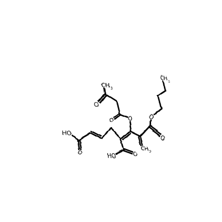 C=C(C(=O)OCCCC)C(OC(=O)CC(C)=O)=C(CC=CC(=O)O)C(=O)O